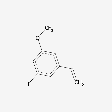 C=Cc1cc(I)cc(OC(F)(F)F)c1